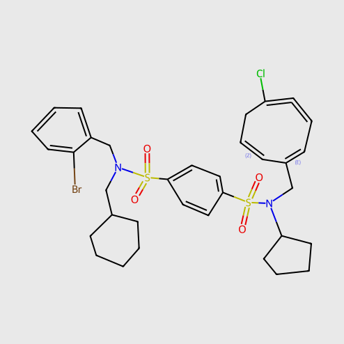 O=S(=O)(c1ccc(S(=O)(=O)N(CC2=C/C=C=C(Cl)C/C=C\2)C2CCCC2)cc1)N(Cc1ccccc1Br)CC1CCCCC1